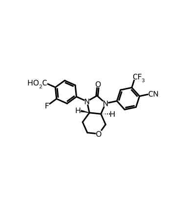 N#Cc1ccc(N2C(=O)N(c3ccc(C(=O)O)c(F)c3)[C@H]3CCOC[C@@H]32)cc1C(F)(F)F